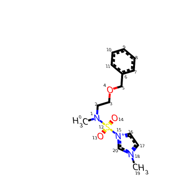 CN(CCOCc1ccccc1)S(=O)(=O)[n+]1ccn(C)c1